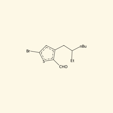 CCCCC(CC)Cc1cc(Br)sc1C=O